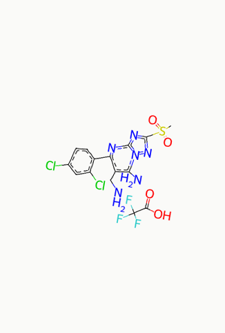 CS(=O)(=O)c1nc2nc(-c3ccc(Cl)cc3Cl)c(CN)c(N)n2n1.O=C(O)C(F)(F)F